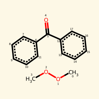 COOC.O=C(c1ccccc1)c1ccccc1